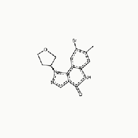 Cc1cc2[nH]c(=O)c3cnn([C@H]4CCOC4)c3c2cc1Br